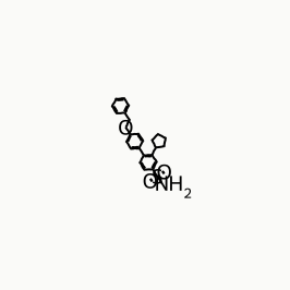 NS(=O)(=O)c1ccc(-c2ccc(OCc3ccccc3)cc2)c(C2CCCC2)c1